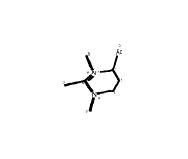 CC(=O)C1CCN(C)C(C)=[N+]1C